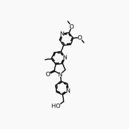 COc1cc(-c2cc(C)c3c(n2)CN(c2ccc(CO)nc2)C3=O)cnc1OC